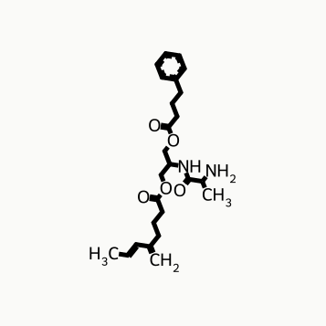 C=C(/C=C/C)CCCC(=O)OCC(COC(=O)CCCc1ccccc1)NC(=O)C(C)N